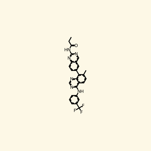 CCC(=O)Nc1ncc2cc(-c3c(C)ccc4c(Nc5cccc(C(F)(F)F)c5)ncnc34)ccc2n1